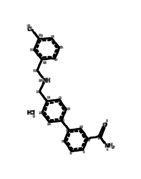 Cl.NC(=O)c1cccc(-c2ccc(CNCc3cccc(Cl)c3)cc2)c1